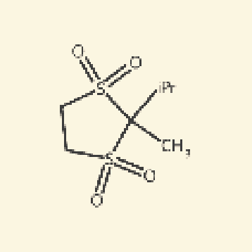 CC(C)C1(C)S(=O)(=O)CCS1(=O)=O